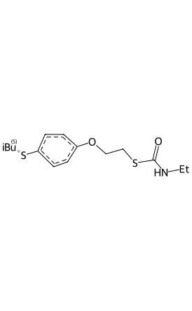 CCNC(=O)SCCOc1ccc(S[C@@H](C)CC)cc1